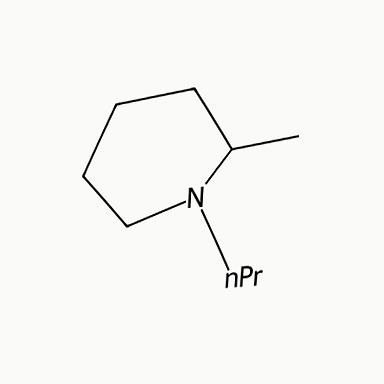 C[CH]CN1CCCCC1C